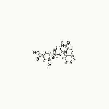 CC[C@@H]1C(=O)N(C)c2cnc(Nc3ccc(C(=O)O)cc3OC)nc2N1C1CCCCC1